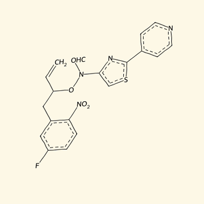 C=CC(Cc1cc(F)ccc1[N+](=O)[O-])ON(C=O)c1csc(-c2ccncc2)n1